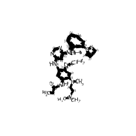 C=CC(=O)Nc1cc(Nc2cc(Nc3ccccc3-n3cccn3)ncn2)c(OC)cc1N(C)CCN(C)C